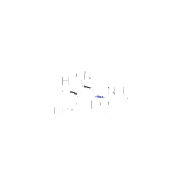 C=C(OCCC)/C(C#N)=C\C(=C/N)C(=O)O